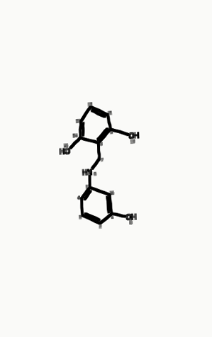 Oc1cccc(NCc2c(O)cccc2O)c1